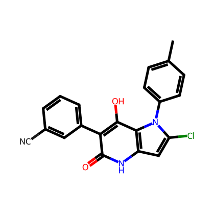 Cc1ccc(-n2c(Cl)cc3[nH]c(=O)c(-c4cccc(C#N)c4)c(O)c32)cc1